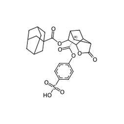 O=C1OC2C3CC(C2OC(=O)C24CC5CC(CC(C5)C2)C4)[C@@H](C(=O)Oc2ccc(S(=O)(=O)O)cc2)C13